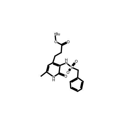 Cc1cc(CCC(=O)OC(C)(C)C)c(NS(=O)(=O)Cc2ccccc2)c(=O)[nH]1